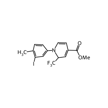 COC(=O)C1=CC(C(F)(F)F)N(c2ccc(C)c(I)c2)C=C1